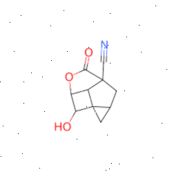 N#CC12CC3CC34C(O)C(OC1=O)C24